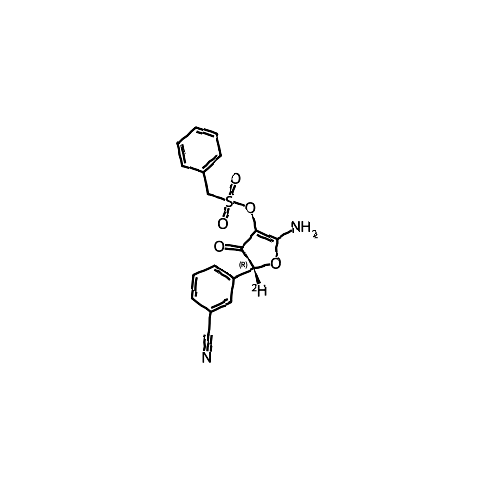 [2H][C@]1(c2cccc(C#N)c2)OC(N)=C(OS(=O)(=O)Cc2ccccc2)C1=O